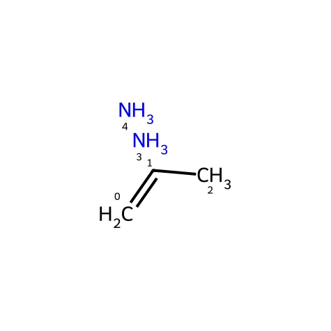 C=CC.N.N